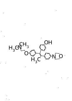 C/C(=C(/c1ccc(O)cc1)c1ccc(OCCN(C)C)cc1)c1ccc(N2CCOCC2)cc1